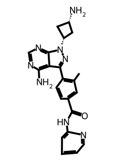 Cc1cc(C(=O)Nc2ccccn2)ccc1-c1nn([C@H]2C[C@@H](N)C2)c2ncnc(N)c12